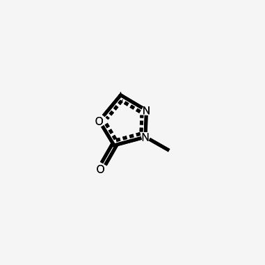 Cn1n[c]oc1=O